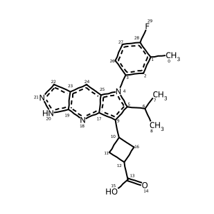 Cc1cc(-n2c(C(C)C)c(C3CC(C(=O)O)C3)c3nc4[nH]ncc4cc32)ccc1F